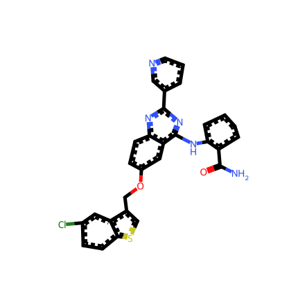 NC(=O)c1ccccc1Nc1nc(-c2cccnc2)nc2ccc(OCc3csc4ccc(Cl)cc34)cc12